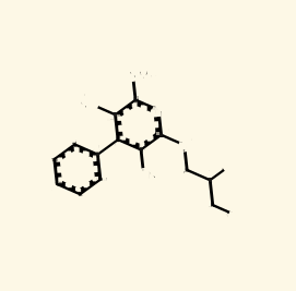 CNc1nc(SCC(O)CO)c(C#N)c(-c2ccccc2)c1C#N